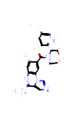 C[C@@H]1COC[C@H](c2ccc(C(F)(F)F)cn2)N1C(=O)c1cc2c(cc1F)nc(N)c1cncn12